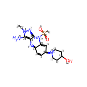 CC(C)n1ncc(/N=C2/C=CC(=[N+]3CCC(O)CC3)C=C2NS(C)(=O)=O)c1N